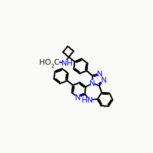 O=C(O)NC1(c2ccc(-c3nnc4n3-c3cc(-c5ccccc5)cnc3Nc3ccccc3-4)cc2)CCC1